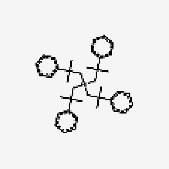 CC(C)([CH2][Hf]([CH2]C(C)(C)c1ccccc1)([CH2]C(C)(C)c1ccccc1)[CH2]C(C)(C)c1ccccc1)c1ccccc1